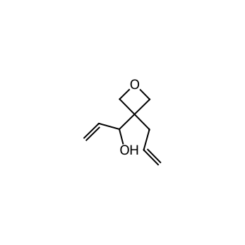 C=CCC1(C(O)C=C)COC1